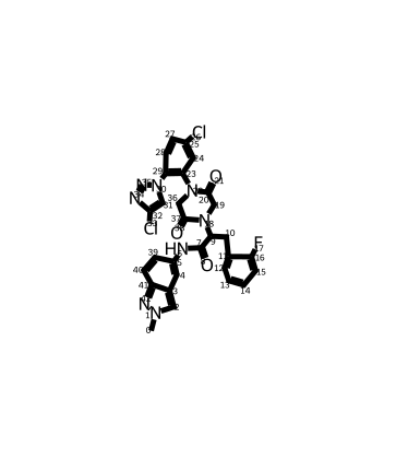 Cn1cc2cc(NC(=O)C(Cc3ccccc3F)N3CC(=O)N(c4cc(Cl)ccc4-n4cc(Cl)nn4)CC3=O)ccc2n1